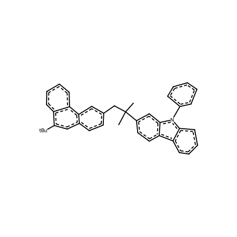 CC(C)(C)c1cc2ccc(CC(C)(C)c3ccc4c5ccccc5n(-c5ccccc5)c4c3)cc2c2ccccc12